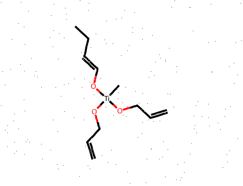 C=CC[O][Ti]([CH3])([O]C=CCC)[O]CC=C